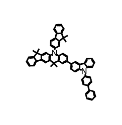 CC1(C)c2ccccc2-c2ccc(N3c4ccc(-c5ccc6c(c5)c5ccccc5n6-c5ccc(-c6ccccc6)cc5)cc4C(C)(C)c4cc5c(cc43)C(C)(C)c3ccccc3-5)cc21